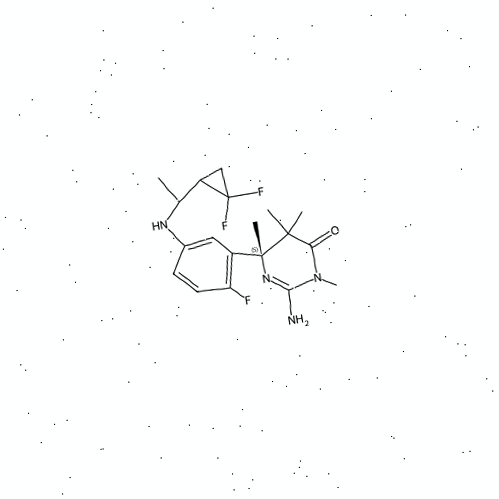 CC(Nc1ccc(F)c([C@@]2(C)N=C(N)N(C)C(=O)C2(C)C)c1)C1CC1(F)F